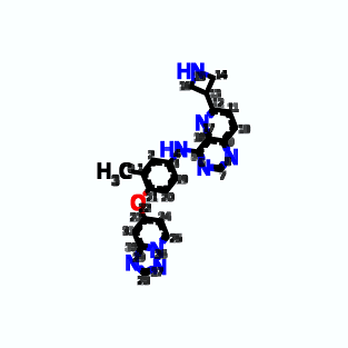 Cc1cc(Nc2ncnc3ccc(C4CNC4)nc23)ccc1Oc1ccn2ncnc2c1